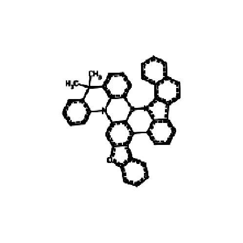 CC1(C)c2ccccc2N2c3cc4oc5ccccc5c4c4c3B(c3cccc1c32)n1c2c-4cccc2c2ccc3ccccc3c21